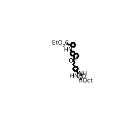 CCCCCCCCOC(=O)NC(=N)c1ccc(CCC(=O)N2CCCc3cc(Nc4ccccc4CC(=O)OCC)ccc32)cc1